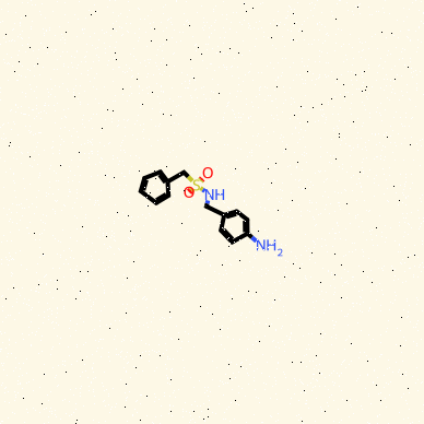 Nc1ccc(CNS(=O)(=O)Cc2ccccc2)cc1